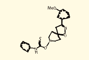 COc1cccc(C2=NOC3(CCN(OC(=S)Nc4ccccc4)CC3)C2)c1